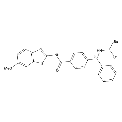 COc1ccc2nc(NC(=O)c3ccc([C@H](N[S+]([O-])C(C)(C)C)c4ccccc4)cc3)sc2c1